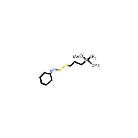 CO[Si](C)(CCCSSNC1CCCCC1)OC